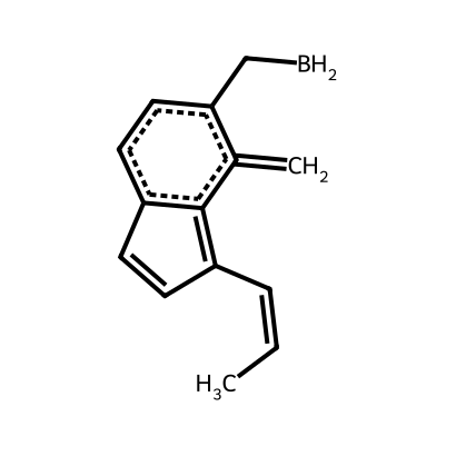 BCc1ccc2c(c1=C)=C(/C=C\C)C=C2